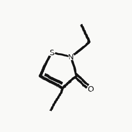 CCn1scc(C)c1=O